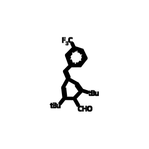 CC(C)(C)C1=CC(=Cc2cccc(C(F)(F)F)c2)C=C(C(C)(C)C)C1C=O